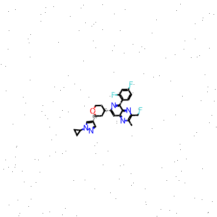 Cc1nc2cc([C@H]3CCO[C@@H](c4cnn(C5CC5)c4)C3)nc(-c3ccc(F)cc3F)c2nc1CF